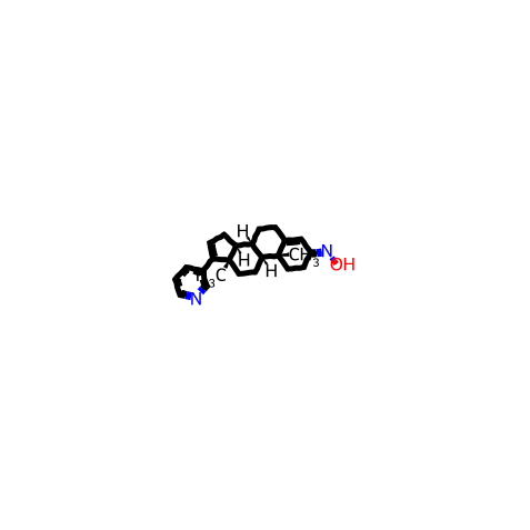 C[C@]12CC/C(=N\O)C=C1CC[C@H]1[C@@H]2CC[C@]2(C)C(c3cccnc3)=CC[C@@H]12